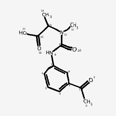 CC(=O)c1cccc(NC(=O)N(C)C(C)C(=O)O)c1